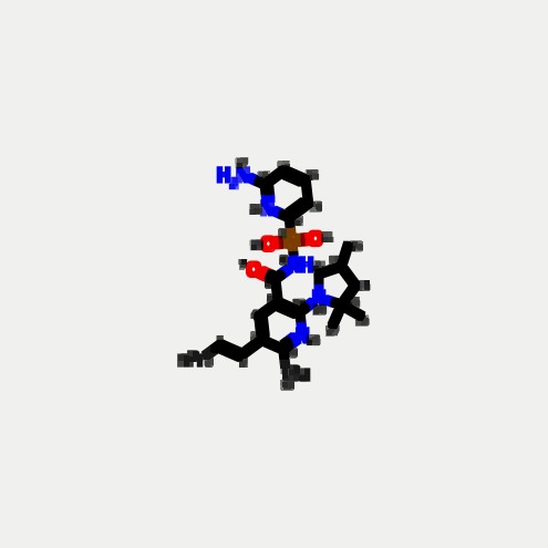 CCCC=Cc1cc(C(=O)NS(=O)(=O)c2cccc(N)n2)c(N2CC(C)CC2(C)C)nc1C(C)(C)C